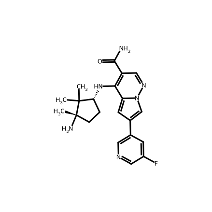 CC1(C)[C@H](Nc2c(C(N)=O)cnn3cc(-c4cncc(F)c4)cc23)CC[C@]1(C)N